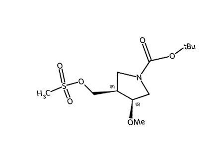 CO[C@@H]1CN(C(=O)OC(C)(C)C)C[C@@H]1COS(C)(=O)=O